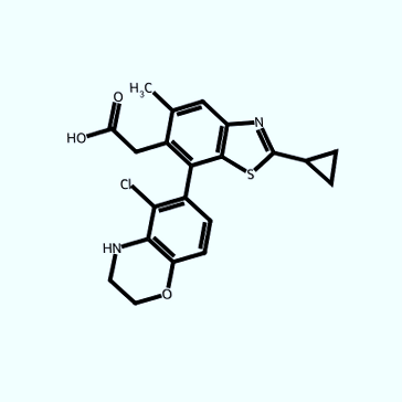 Cc1cc2nc(C3CC3)sc2c(-c2ccc3c(c2Cl)NCCO3)c1CC(=O)O